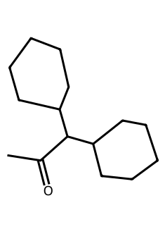 CC(=O)C(C1CCCCC1)C1CCCCC1